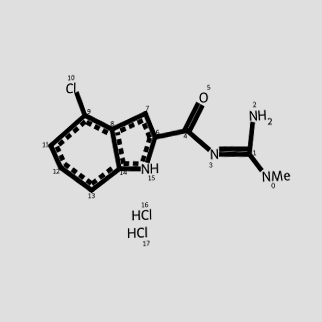 CNC(N)=NC(=O)c1cc2c(Cl)cccc2[nH]1.Cl.Cl